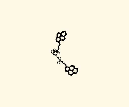 O=C(CCCc1ccc2ccc3cccc4ccc1c2c34)OC[C@H](CO)OC(=O)CCCc1ccc2ccc3cccc4ccc1c2c34